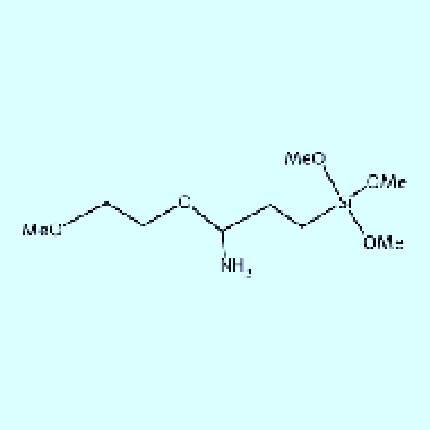 COCCOC(N)CC[Si](OC)(OC)OC